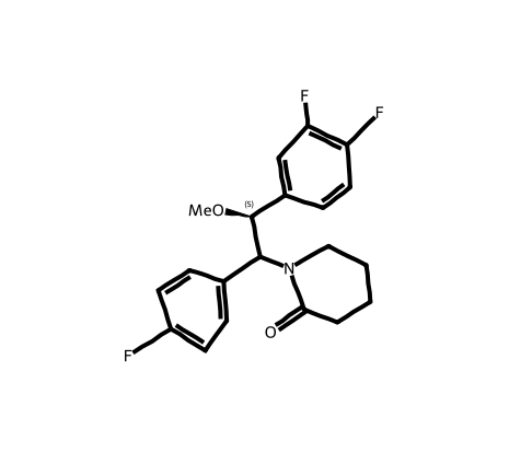 CO[C@@H](c1ccc(F)c(F)c1)C(c1ccc(F)cc1)N1CCCCC1=O